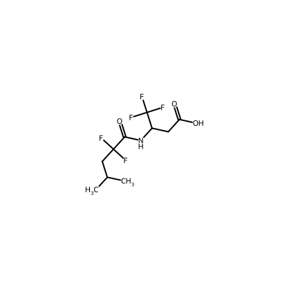 CC(C)CC(F)(F)C(=O)NC(CC(=O)O)C(F)(F)F